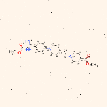 COC(=O)NC(=N)c1ccc(N2CCC(CCN3CCC(C(=O)OC)CC3)CC2)cc1